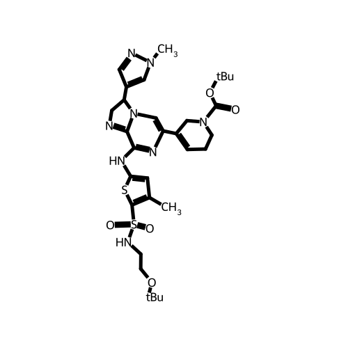 Cc1cc(NC2=NC(C3=CCCN(C(=O)OC(C)(C)C)C3)=CN3C2=NCC3c2cnn(C)c2)sc1S(=O)(=O)NCCOC(C)(C)C